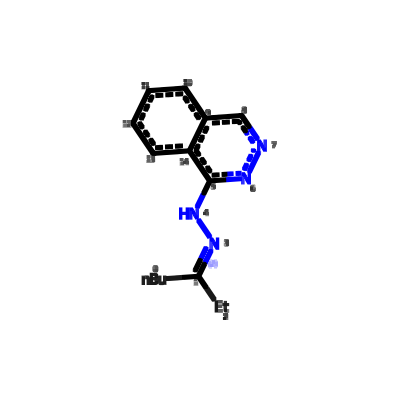 CCCC/C(CC)=N\Nc1nncc2ccccc12